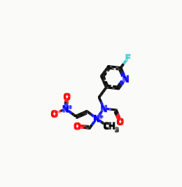 C[N+](C=O)(C=C[N+](=O)[O-])N(C=O)Cc1ccc(F)nc1